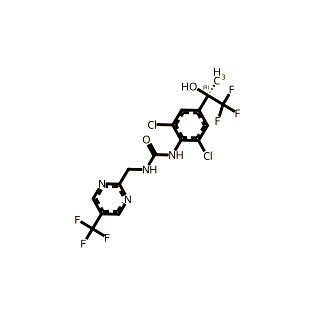 C[C@@](O)(c1cc(Cl)c(NC(=O)NCc2ncc(C(F)(F)F)cn2)c(Cl)c1)C(F)(F)F